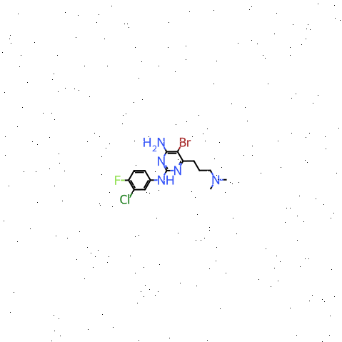 CN(C)CCCc1nc(Nc2ccc(F)c(Cl)c2)nc(N)c1Br